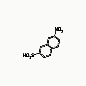 O=[N+]([O-])c1ccc2ccc(S(=O)(=O)O)cc2c1